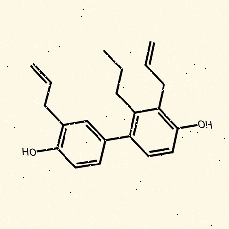 C=CCc1cc(-c2ccc(O)c(CC=C)c2CCC)ccc1O